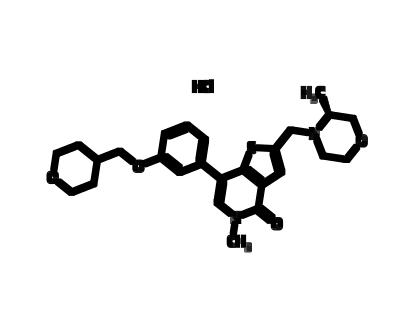 C[C@H]1COCCN1Cc1cc2c(=O)n(C)cc(-c3cccc(OCC4CCOCC4)c3)c2s1.Cl